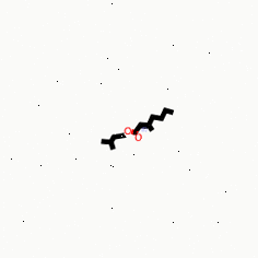 CCCC/C(C)=C/C(=O)OCCC(C)C